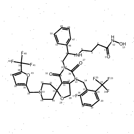 O=C(CCCNC(Cn1c(=O)c2c(n(Cc3c(F)cccc3C(F)(F)F)c1=O)COC21CCN(Cc2ccc(C(F)(F)F)o2)CC1)c1ccccc1)NO